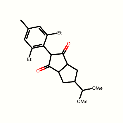 CCc1cc(C)cc(CC)c1C1C(=O)C2CC(C(OC)OC)CC2C1=O